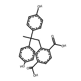 CC(Cc1cc(C(=O)O)ccc1C(=O)O)(c1ccc(O)cc1)c1ccc(O)cc1